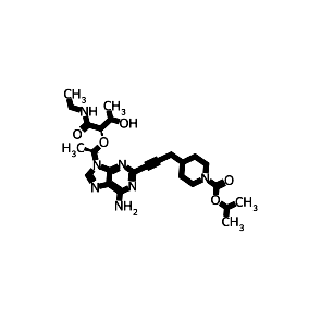 CCNC(=O)[C@@H](O[C@H](C)n1cnc2c(N)nc(C#CCC3CCN(C(=O)OC(C)C)CC3)nc21)C(C)O